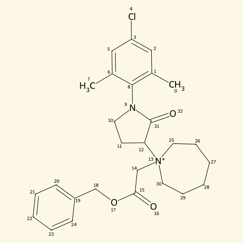 Cc1cc(Cl)cc(C)c1N1CCC([N+]2(CC(=O)OCc3ccccc3)CCCCCC2)C1=O